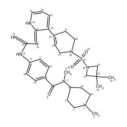 CN1CCC(N(C)C(=O)c2ccc(NC(=N)/N=c3\[nH]cccc3C3=CCN(S(=O)(=O)N4CC(C)(C)C4)CC3)cc2)CC1